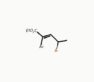 CCOC(=O)C(=CC(C)Br)C(C)=O